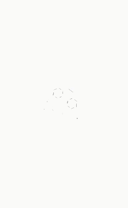 COc1ccc(/C=C\c2cc(CO)c(CO)c(OC)c2)cc1OP(=O)(O)O